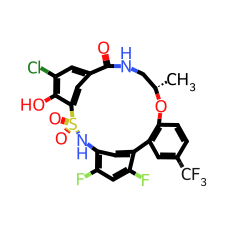 C[C@H]1CNC(=O)c2cc(Cl)c(O)c(c2)S(=O)(=O)Nc2cc(c(F)cc2F)-c2cc(C(F)(F)F)ccc2O1